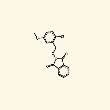 COc1ccc(Cl)c(CON2C(=O)c3ccccc3C2=O)c1